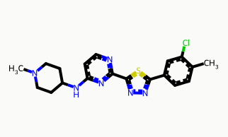 Cc1ccc(-c2nnc(-c3nccc(NC4CCN(C)CC4)n3)s2)cc1Cl